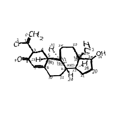 C=C(Cl)C1C[C@H]2C(=CC1=O)CC[C@@H]1[C@@H]2CC[C@]2(C)C(O)CC[C@@H]12